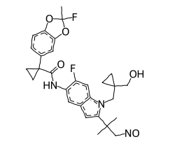 CC1(F)Oc2ccc(C3(C(=O)Nc4cc5cc(C(C)(C)CN=O)n(CC6(CO)CC6)c5cc4F)CC3)cc2O1